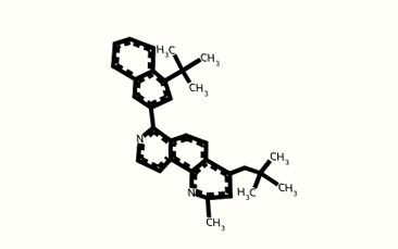 Cc1cc(CC(C)(C)C)c2ccc3c(-c4cc(C(C)(C)C)c5ccccc5c4)nccc3c2n1